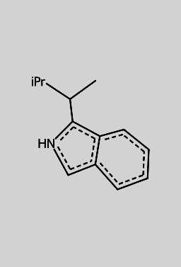 CC(C)C(C)c1[nH]cc2ccccc12